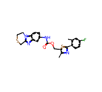 Cc1cc(F)ccc1-c1nc(C)c(COC(=O)Nc2ccc3c(c2)nc2n3CCSC2)s1